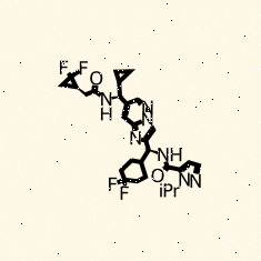 CC(C)n1nccc1C(=O)N[C@H](c1cn2ncc([C@@H](NC(=O)C[C@H]3CC3(F)F)C3CC3)cc2n1)C1CCC(F)(F)CC1